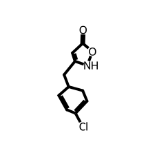 O=c1cc(CC2C=CC(Cl)=CC2)[nH]o1